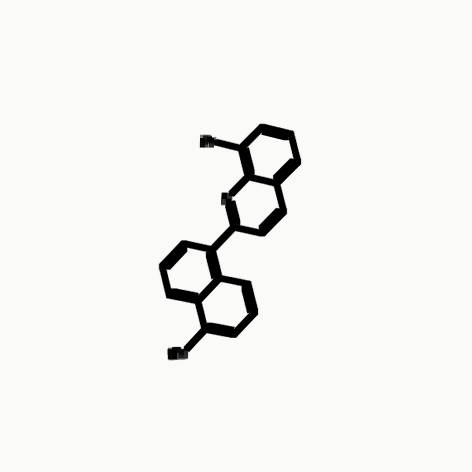 CC(C)c1cccc2ccc(-c3cccc4c(C(C)(C)C)cccc34)nc12